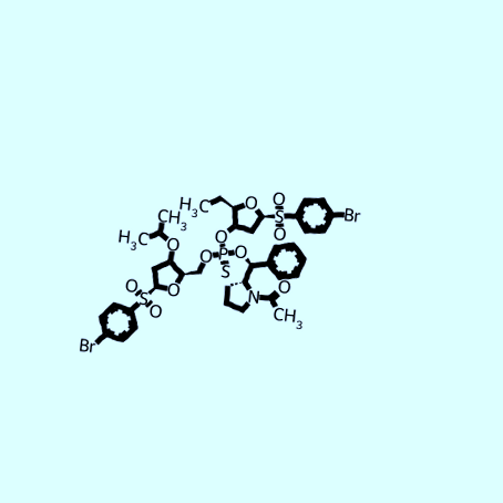 CC[C@H]1O[C@@H](S(=O)(=O)c2ccc(Br)cc2)CC1OP(=S)(OC[C@H]1O[C@@H](S(=O)(=O)c2ccc(Br)cc2)CC1OC(C)C)O[C@@H](c1ccccc1)[C@H]1CCCN1C(C)=O